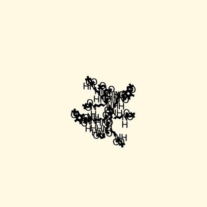 Cc1c(C)c(S(=O)(=O)NC(=N)NCCC[C@H](NC(=O)[C@H](CCCCNC(=O)OC(C)(C)C)NC(=O)[C@@H]2CCC(=O)N2)C(=O)N[C@@H](CCCCNC(=O)OC(C)(C)C)C(=O)N[C@@H](CCCNC(=N)NS(=O)(=O)c2c(C)c(C)c3c(c2C)CC(C)(C)O3)C(=O)N[C@@H](CCCCNC(=O)OC(C)(C)C)C(=O)N[C@@H](CCCCNC(=O)OC(C)(C)C)C(=O)N[C@@H](COC(C)(C)C)C(=O)O)c(C)c2c1OC(C)(C)C2